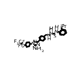 CC(C)c1ccccc1NC(=S)NNCc1ccc(-c2nc(N)n(-c3ccc(OC(F)(F)C(F)(F)F)cc3)n2)cc1